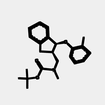 Cc1ccccc1O[C@@H]1c2ccccc2C[C@@H]1CN(C)C(=O)OC(C)(C)C